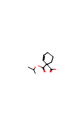 CC(C)OC(=O)C1(C(=O)O)C=CCCC1